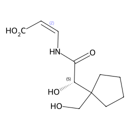 O=C(O)/C=C\NC(=O)[C@@H](O)C1(CO)CCCC1